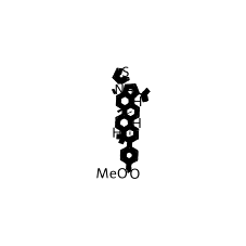 C=C(C)[C@@H]1CC[C@]2(N(C)c3ccsc3)CC[C@]3(C)[C@H](CC[C@@H]4[C@@]5(C)CC=C(c6ccc(C(=O)OC)cc6)C(C)(C)[C@@H]5CC[C@]43C)[C@@H]12